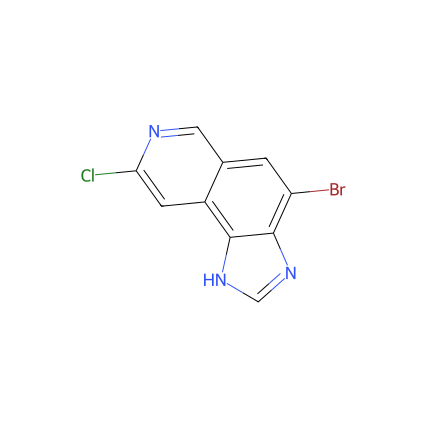 Clc1cc2c(cn1)cc(Br)c1nc[nH]c12